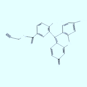 C#CCNC(=O)c1ccc(C(=O)O)c(-c2c3ccc(=O)cc-3oc3cc(O)ccc23)c1